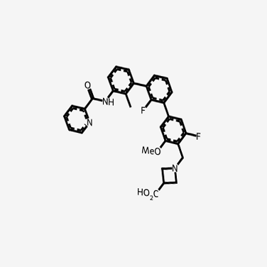 COc1cc(-c2cccc(-c3cccc(NC(=O)c4ccccn4)c3C)c2F)cc(F)c1CN1CC(C(=O)O)C1